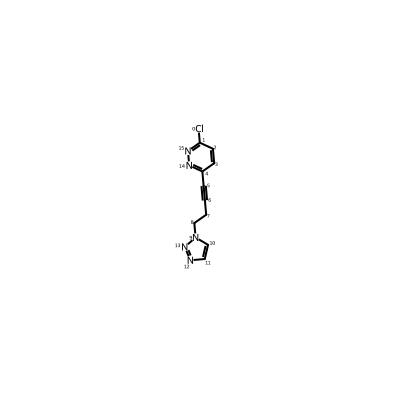 Clc1ccc(C#CCCn2ccnn2)nn1